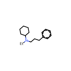 CCN(CCCc1ccccc1)C1CCCCC1